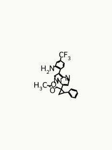 CC1OC(C2(c3ccnc4c(-c5ccc(C(F)(F)F)cc5N)cnn34)CC2c2ccccc2)O1